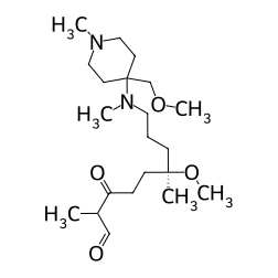 COCC1(N(C)CCC[C@](C)(CCC(=O)C(C)C=O)OC)CCN(C)CC1